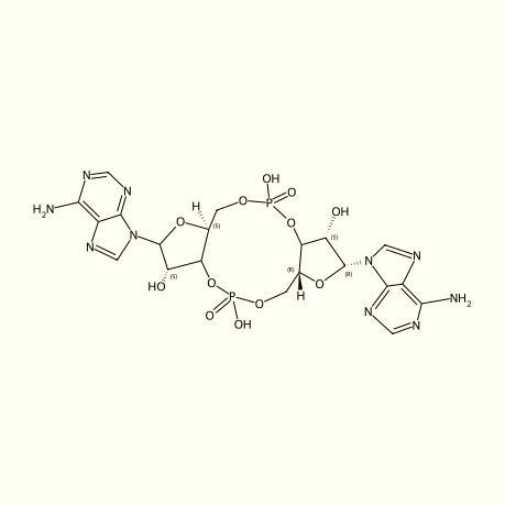 Nc1ncnc2c1ncn2C1O[C@H]2COP(=O)(O)OC3[C@@H](COP(=O)(O)OC2[C@@H]1O)O[C@@H](n1cnc2c(N)ncnc21)[C@H]3O